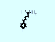 N=C(N)CCCCc1ccc(F)cc1